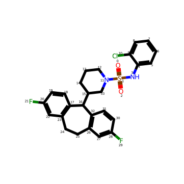 O=S(=O)(Nc1ccccc1Cl)N1CCCC(C2c3ccc(F)cc3CCc3cc(F)ccc32)C1